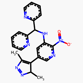 CC1=C(c2cnc([N+](=O)[O-])c(NC(c3ccccn3)c3ccccn3)c2)C(C)N=N1